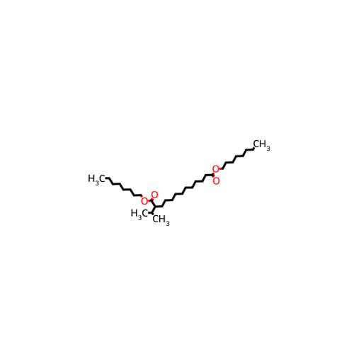 CCCCCCCCOC(=O)CCCCCCCCCCC(C(=O)OCCCCCCCC)C(C)C